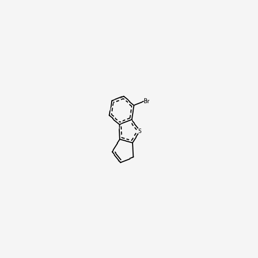 Brc1cccc2c3c(sc12)CC=C3